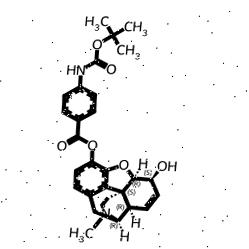 CN1CC[C@]23c4c5ccc(OC(=O)c6ccc(NC(=O)OC(C)(C)C)cc6)c4O[C@H]2[C@@H](O)C=C[C@H]3[C@H]1C5